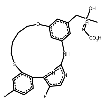 C[SH](O)(Cc1cc2cc(c1)OCCCCSc1cc(F)ccc1-c1nc(ncc1F)N2)=NC(=O)O